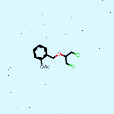 CC(=O)Oc1ccccc1COC(CCl)CCl